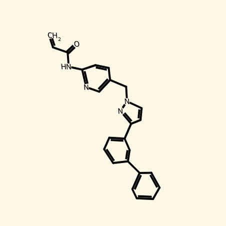 C=CC(=O)Nc1ccc(Cn2ccc(-c3cccc(-c4ccccc4)c3)n2)cn1